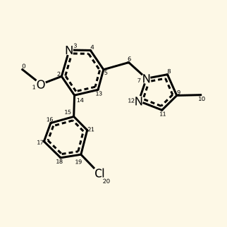 COc1ncc(Cn2cc(C)cn2)cc1-c1cccc(Cl)c1